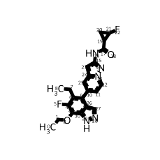 CCOc1c(F)c(CC)c(-c2ccn3nc(NC(=O)C4CC4F)cc3c2)c2cn[nH]c12